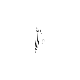 N#CN.[In]